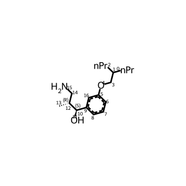 CCCC(CCC)COc1cccc([C@@H](O)[C@H](C)CN)c1